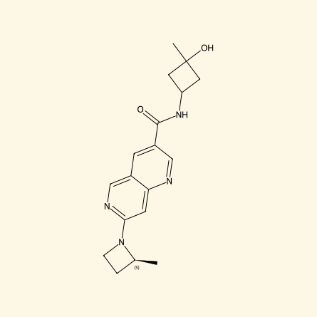 C[C@H]1CCN1c1cc2ncc(C(=O)NC3CC(C)(O)C3)cc2cn1